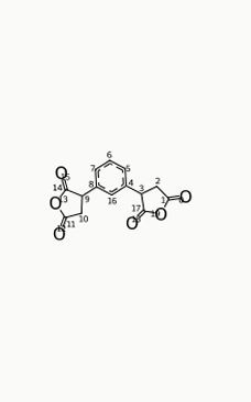 O=C1CC(c2cccc(C3CC(=O)OC3=O)c2)C(=O)O1